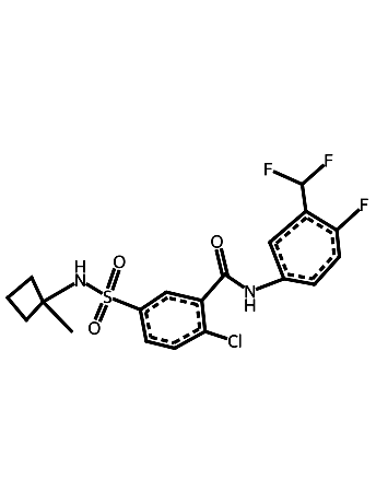 CC1(NS(=O)(=O)c2ccc(Cl)c(C(=O)Nc3ccc(F)c(C(F)F)c3)c2)CCC1